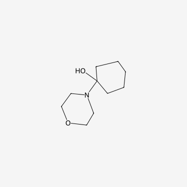 OC1(N2CCOCC2)CCCCC1